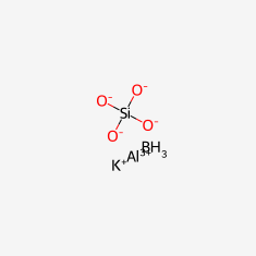 B.[Al+3].[K+].[O-][Si]([O-])([O-])[O-]